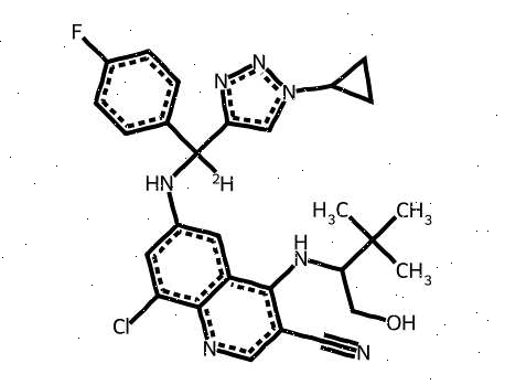 [2H]C(Nc1cc(Cl)c2ncc(C#N)c(NC(CO)C(C)(C)C)c2c1)(c1ccc(F)cc1)c1cn(C2CC2)nn1